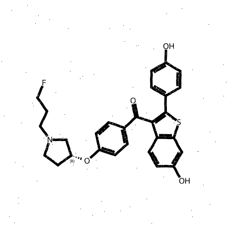 O=C(c1ccc(O[C@@H]2CCN(CCCF)C2)cc1)c1c(-c2ccc(O)cc2)sc2cc(O)ccc12